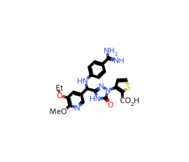 CCOc1cc(C(Nc2ccc(C(=N)N)cc2)c2nn(-c3ccsc3C(=O)O)c(=O)[nH]2)cnc1OC